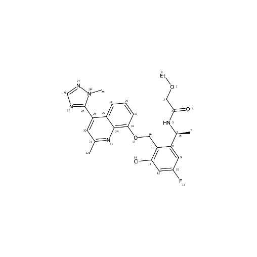 CCOCC(=O)N[C@@H](C)c1cc(F)cc(Cl)c1COc1cccc2c(-c3ncnn3C)cc(C)nc12